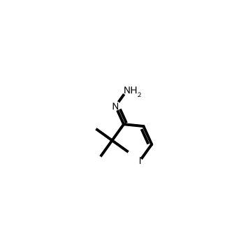 CC(C)(C)C(/C=C\I)=N/N